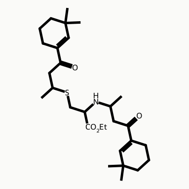 CCOC(=O)C(CSC(C)CC(=O)C1=CC(C)(C)CCC1)NC(C)CC(=O)C1=CC(C)(C)CCC1